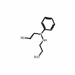 CC(=O)OCCNN(CCC#N)c1ccccc1